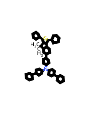 CC1(C)c2cc(-c3ccc(N(c4ccc(-c5ccccc5)cc4)c4ccc(-c5ccccc5)cc4)cc3)ccc2-c2c(-c3ccccc3)sc(-c3ccccc3)c21